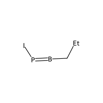 CCCB=PI